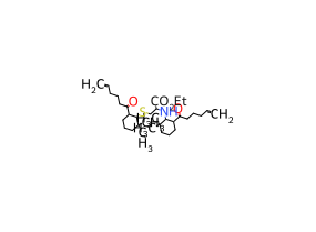 C=CCCCC(=O)C1CCCC(C)(C)C1NC(CSC1C(C(=O)CCCC=C)CCCC1(C)C)C(=O)OCC